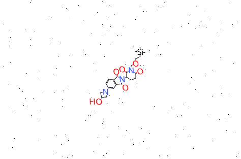 C[Si](C)(C)CCOCN1C(=O)CCC(N2C(=O)c3ccc(N4CC(O)C4)cc3C2=O)C1=O